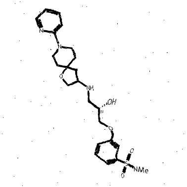 CNS(=O)(=O)c1cccc(OC[C@@H](O)CNC2COC3(CCN(c4ccccn4)CC3)C2)c1